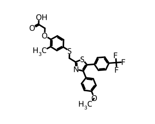 COc1ccc(-c2nc(CSc3ccc(OCC(=O)O)c(C)c3)sc2-c2ccc(C(F)(F)F)cc2)cc1